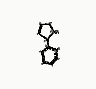 C1=CN(c2ccccn2)NC1